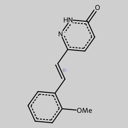 COc1ccccc1/C=C/c1ccc(=O)[nH]n1